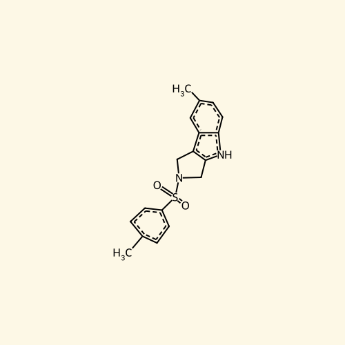 Cc1ccc(S(=O)(=O)N2Cc3[nH]c4ccc(C)cc4c3C2)cc1